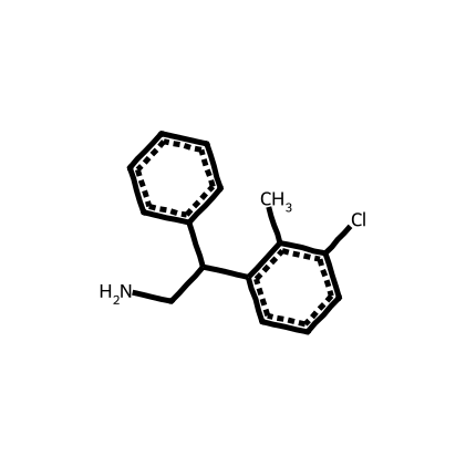 Cc1c(Cl)cccc1C(CN)c1ccccc1